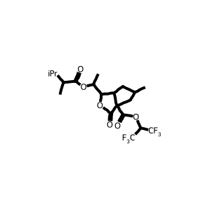 CC1CC2C(C(C)OC(=O)C(C)C(C)C)OC(=O)C2(C(=O)OC(C(F)(F)F)C(F)(F)F)C1